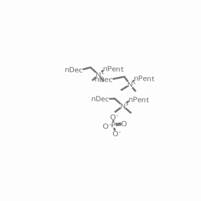 CCCCCCCCCCC[N+](C)(C)CCCCC.CCCCCCCCCCC[N+](C)(C)CCCCC.CCCCCCCCCCC[N+](C)(C)CCCCC.O=P([O-])([O-])[O-]